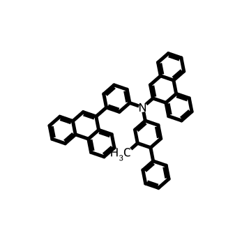 CC1C=C(N(c2cccc(-c3cc4ccccc4c4ccccc34)c2)c2cc3ccccc3c3ccccc23)C=CC1c1ccccc1